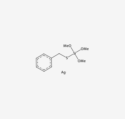 CO[Si](OC)(OC)SCc1ccccc1.[Ag]